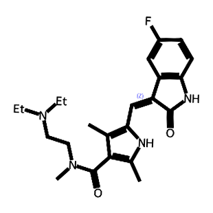 CCN(CC)CCN(C)C(=O)c1c(C)[nH]c(/C=C2\C(=O)Nc3ccc(F)cc32)c1C